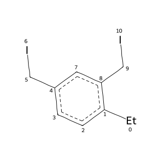 CCc1ccc(CI)cc1CI